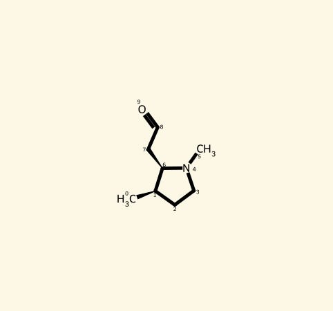 C[C@@H]1CCN(C)[C@@H]1CC=O